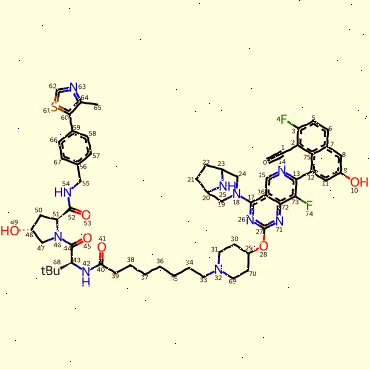 C#Cc1c(F)ccc2cc(O)cc(-c3ncc4c(N5CC6CCC(C5)N6)nc(OC5CCN(CCCCCCCC(=O)N[C@H](C(=O)N6C[C@H](O)C[C@H]6C(=O)NCc6ccc(-c7scnc7C)cc6)C(C)(C)C)CC5)nc4c3F)c12